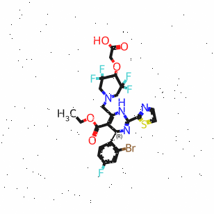 CCOC(=O)C1=C(CN2CC(F)(F)C(OCC(=O)O)C(F)(F)C2)NC(c2nccs2)=N[C@H]1c1ccc(F)cc1Br